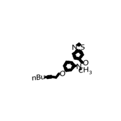 CCCCC#CCCOc1cccc(N(C)C(=O)c2ccc3ncsc3c2)c1